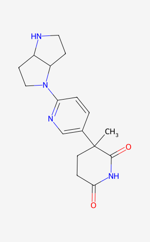 CC1(c2ccc(N3CCC4NCCC43)nc2)CCC(=O)NC1=O